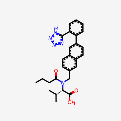 CCCC(=O)N(Cc1ccc2cc(-c3ccccc3-c3nnn[nH]3)ccc2c1)[C@H](C(=O)O)C(C)C